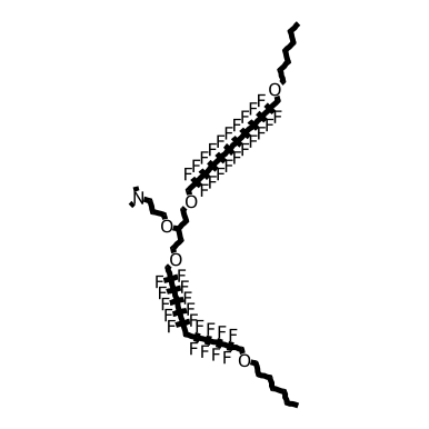 CCCCCCCOCC(F)(F)C(F)(F)C(F)(F)C(F)(F)CC(F)(F)C(F)(F)C(F)(F)C(F)(F)C(F)(F)COCCC(CCOCC(F)(F)C(F)(F)C(F)(F)C(F)(F)C(F)(F)C(F)(F)C(F)(F)C(F)(F)C(F)(F)C(F)(F)COCCCCCCC)OCCCN(C)C